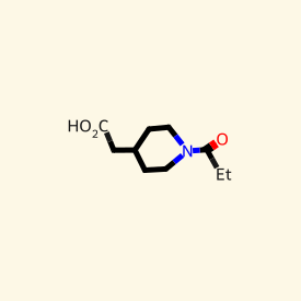 CCC(=O)N1CCC(CC(=O)O)CC1